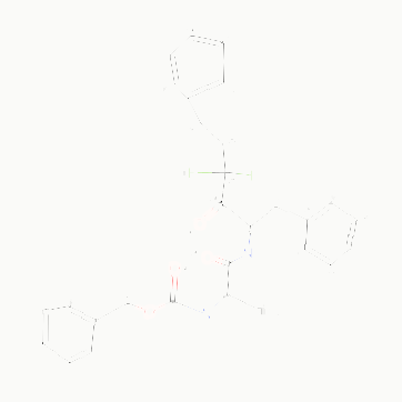 CCC(C)C(NC(=O)OCc1ccccc1)C(=O)NC(Cc1ccccc1)C(=O)C(F)(F)CCc1ccccc1